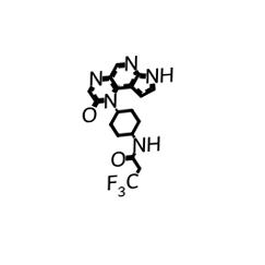 O=C(CC(F)(F)F)N[C@H]1CC[C@H](n2c(=O)cnc3cnc4[nH]ccc4c32)CC1